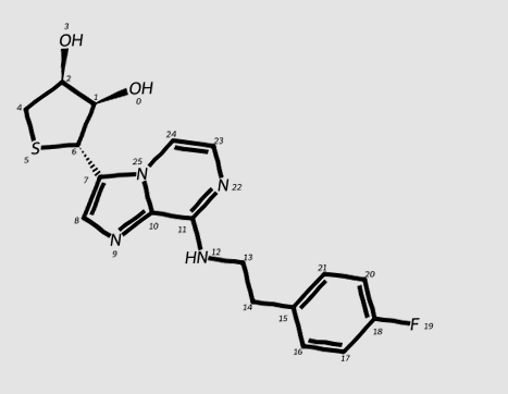 O[C@@H]1[C@H](O)CS[C@H]1c1cnc2c(NCCc3ccc(F)cc3)nccn12